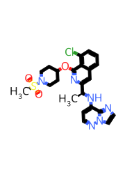 C[C@H](Nc1ccnn2ccnc12)c1cc2cccc(Cl)c2c(OC2CCN(S(C)(=O)=O)CC2)n1